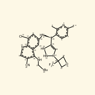 Cc1nc(F)ccc1[C@H](Nc1cc(Cl)c2ncc(C#N)c(NCC(C)(C)C)c2c1)C1=CN(C2(C(F)(F)F)COC2)NN1